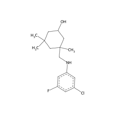 CC1(C)CC(O)CC(C)(CNc2cc(F)cc(Cl)c2)C1